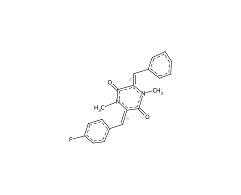 Cn1c(=O)/c(=C/c2ccc(F)cc2)n(C)c(=O)/c1=C/c1ccccc1